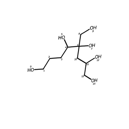 OCCCC(O)C(O)(CO)CC(O)CO